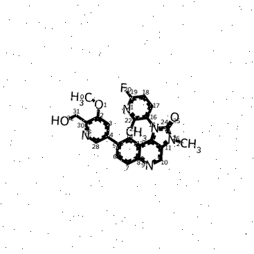 COc1cc(-c2ccc3ncc4c(c3c2)n(-c2ccc(F)nc2C)c(=O)n4C)cnc1CO